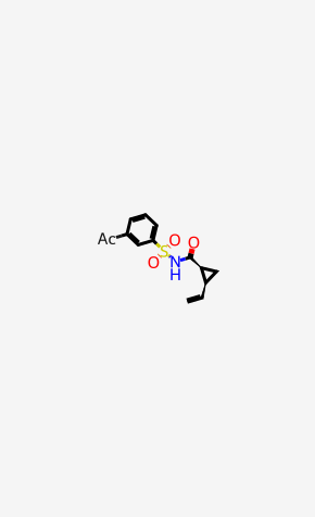 C=C[C@@H]1C[C@@H]1C(=O)NS(=O)(=O)c1cccc(C(C)=O)c1